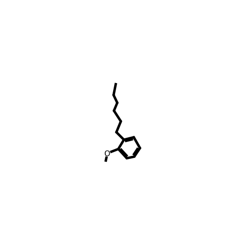 CCCCCCc1ccccc1OC